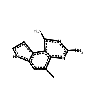 Cc1cc2[nH]ccc2c2c(N)nc(N)nc12